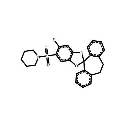 O=S(=O)(c1cc2c(cc1F)OC1(O2)c2ccccc2CCc2ccccc21)N1CCCCC1